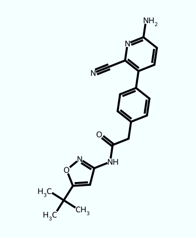 CC(C)(C)c1cc(NC(=O)Cc2ccc(-c3ccc(N)nc3C#N)cc2)no1